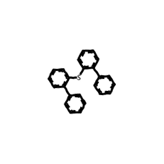 c1ccc(-c2ccccc2Sc2ccccc2-c2ccccc2)cc1